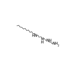 CCCCCCCCCCCCNCCCNCCNCCCN